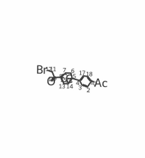 CC(=O)c1ccc(C23CCC(C(=O)CBr)(CC2)CC3)cc1